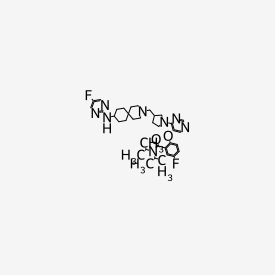 CC(C)N(C(=O)c1cc(F)ccc1Oc1cncnc1N1CCC(CN2CCC3(CCC(Nc4ncc(F)cn4)CC3)CC2)C1)C(C)C